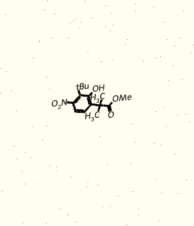 COC(=O)C(C)(C)c1ccc([N+](=O)[O-])c(C(C)(C)C)c1O